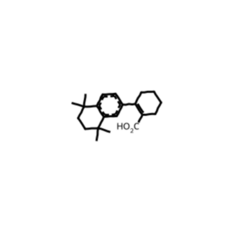 CC1(C)CCC(C)(C)c2cc(C3=C(C(=O)O)CCCC3)ccc21